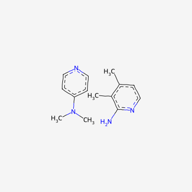 CN(C)c1ccncc1.Cc1ccnc(N)c1C